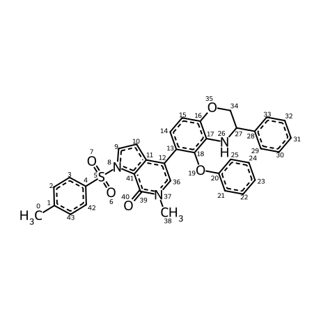 Cc1ccc(S(=O)(=O)n2ccc3c(-c4ccc5c(c4Oc4ccccc4)NC(c4ccccc4)CO5)cn(C)c(=O)c32)cc1